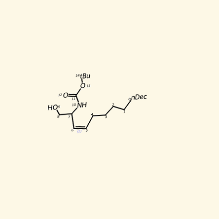 CCCCCCCCCCCCCC/C=C\C(CO)NC(=O)OC(C)(C)C